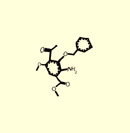 COC(=O)c1cc(OC)c(C(C)=O)c(OCc2ccccc2)c1N